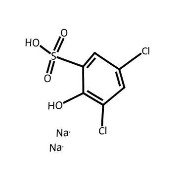 O=S(=O)(O)c1cc(Cl)cc(Cl)c1O.[Na].[Na]